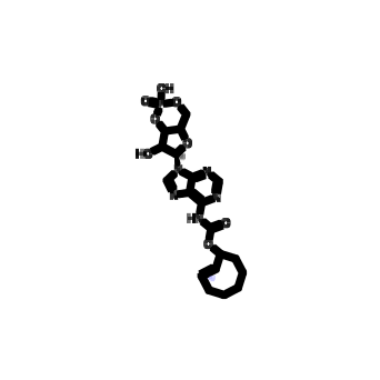 O=C(Nc1ncnc2c1ncn2[C@@H]1OC2COP(=O)(O)OC2C1O)OC1/C=C/CCCCC1